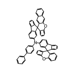 c1ccc(-c2ccc(N(c3ccc4c(c3)C3(c5ccccc5Oc5ccccc53)c3ccccc3-4)c3ccc4c(c3)C3(c5ccccc5Oc5cc6ccccc6cc53)c3ccccc3-4)cc2)cc1